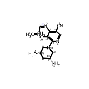 C=N/C=N\c1c(C#N)cnc(N2C[C@@H](C)C[C@@H](N)C2)c1C